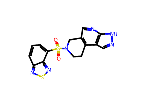 O=S(=O)(c1cccc2nsnc12)N1CCc2c(cnc3[nH]ncc23)C1